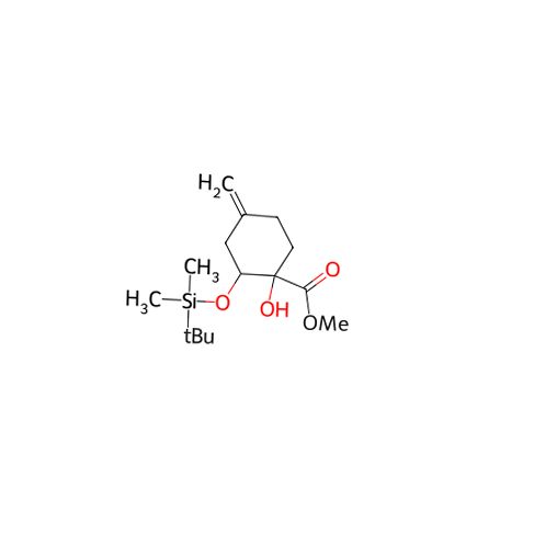 C=C1CCC(O)(C(=O)OC)C(O[Si](C)(C)C(C)(C)C)C1